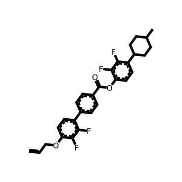 C=CCOc1ccc(-c2ccc(C(=O)Oc3ccc(C4CCC(C)CC4)c(F)c3F)cc2)c(F)c1F